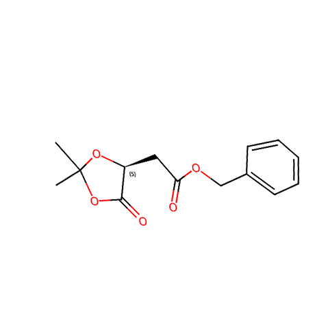 CC1(C)OC(=O)[C@H](CC(=O)OCc2ccccc2)O1